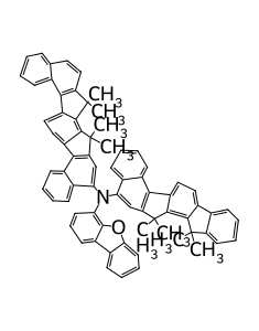 CC1(C)c2ccccc2-c2ccc3c(c21)C(C)(C)c1cc(N(c2cc4c(c5ccccc25)-c2ccc5c(c2C4(C)C)C(C)(C)c2ccc4ccccc4c2-5)c2cccc4c2oc2ccccc24)c2ccccc2c1-3